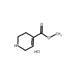 COC(=O)C1=CCNCC1.Cl